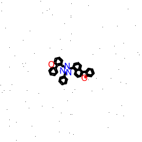 c1ccc(-c2nc(-c3cccc4c3ccc3oc5ccccc5c34)nc(-c3cccc4oc5ccccc5c34)n2)cc1